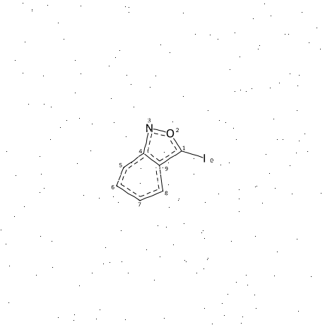 Ic1onc2ccccc12